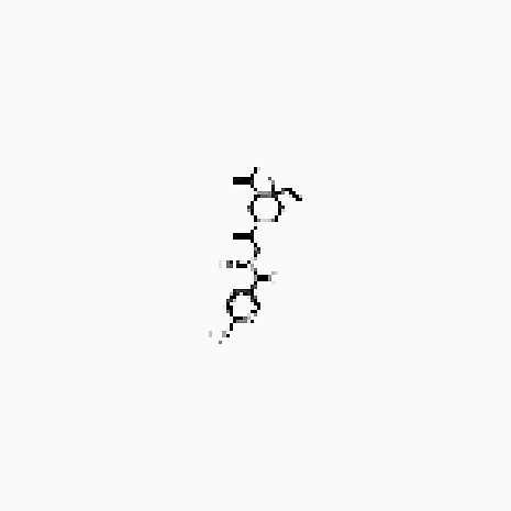 C=C[C@]1(C)CC[C@@H](C(=C)CN(O)C(=O)c2ccc(N)nc2)C[C@H]1C(=C)C